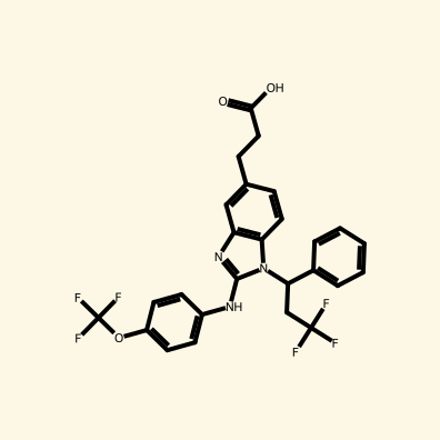 O=C(O)CCc1ccc2c(c1)nc(Nc1ccc(OC(F)(F)F)cc1)n2C(CC(F)(F)F)c1ccccc1